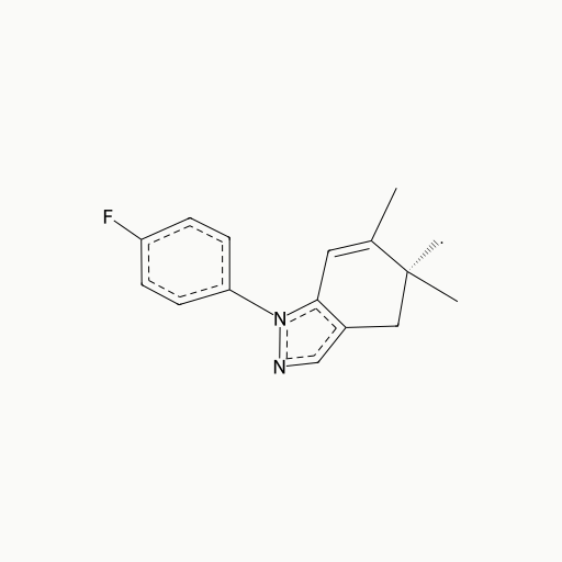 [CH2][C@]1(C)Cc2cnn(-c3ccc(F)cc3)c2C=C1C